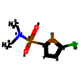 CN(C)S(=O)(=O)c1ccc(Br)s1